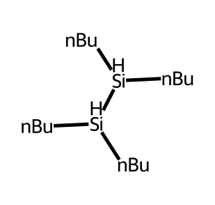 CCCC[SiH](CCCC)[SiH](CCCC)CCCC